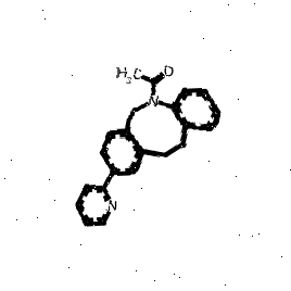 CC(=O)N1Cc2ccc(-c3ccccn3)cc2CCc2ccccc21